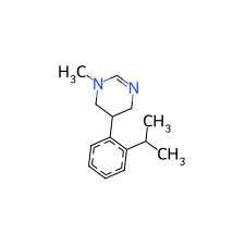 CC(C)c1ccccc1C1CN=CN(C)C1